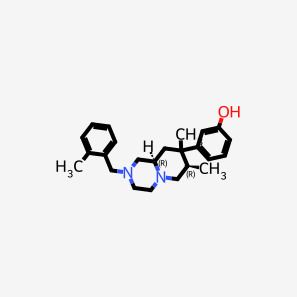 Cc1ccccc1CN1CCN2C[C@H](C)C(C)(c3cccc(O)c3)C[C@@H]2C1